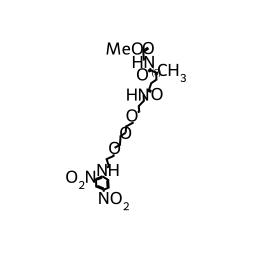 COC(=O)CNC(=O)[C@@H](C)CCC(=O)NCCCOCCOCCOCCCNc1ccc([N+](=O)[O-])cc1[N+](=O)[O-]